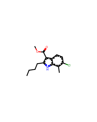 CCCCc1[nH]c2c(C)c(Cl)ccc2c1C(=O)OC